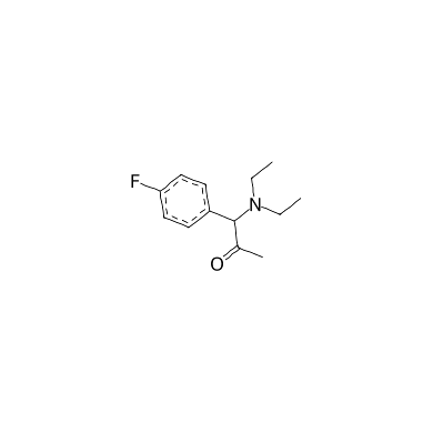 CCN(CC)C(C(C)=O)c1ccc(F)cc1